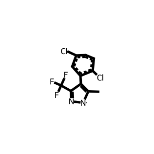 CC1=C(c2cc(Cl)ccc2Cl)C(C(F)(F)F)=N[N]1